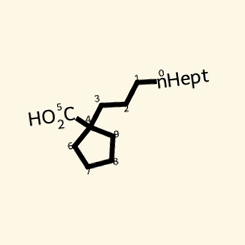 CCCCCCCCCCC1(C(=O)O)CCCC1